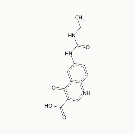 CCNC(=O)Nc1ccc2[nH]cc(C(=O)O)c(=O)c2c1